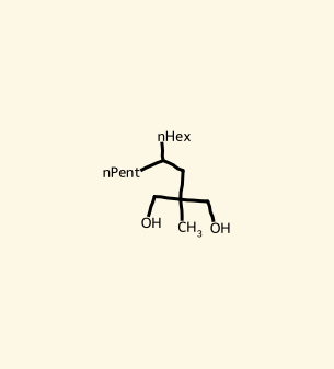 CCCCCCC(CCCCC)CC(C)(CO)CO